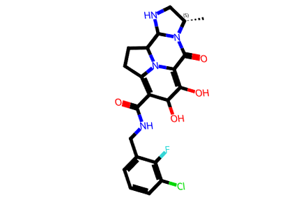 C[C@H]1CNC2C3CCC4=C(C(=O)NCc5cccc(Cl)c5F)C(O)C(O)=C(C(=O)N21)N43